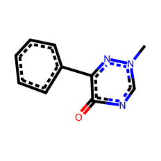 Cn1cnc(=O)c(-c2ccccc2)n1